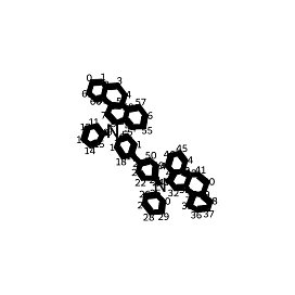 C1=CC2=CCc3c(cc(N(c4ccccc4)c4ccc(-c5ccc(N(c6ccccc6)c6cc7c8ccccc8ccc7c7ccccc67)cc5)cc4)c4ccccc34)C2=CC1